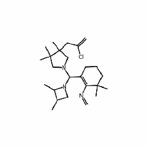 C=NC1=C(C(N2CC(C)(C)C(C)(CC(=C)Cl)C2)N2CC(C)C2C)CCCC1(C)C